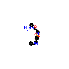 Nc1ccccc1NC(=O)C=Cc1ccn(S(=O)(=O)c2ccc(-c3cnn(Cc4ccccc4)c3)cc2)c1